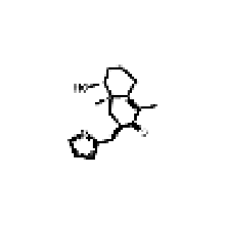 CC1=C2CCC[C@H](O)[C@@]2(C)C/C(=C\c2ccco2)C1=O